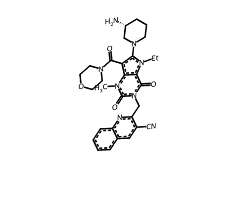 CCn1c(N2CCC[C@@H](N)C2)c(C(=O)N2CCOCC2)c2c1c(=O)n(Cc1nc3ccccc3cc1C#N)c(=O)n2C